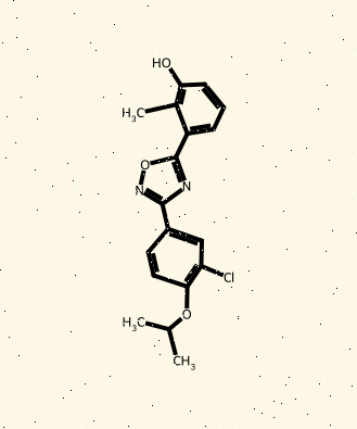 Cc1c(O)cccc1-c1nc(-c2ccc(OC(C)C)c(Cl)c2)no1